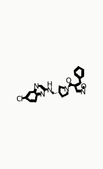 O=C(c1cnoc1-c1ccccc1)N1CC[C@H](CNc2cnc3cc(Cl)ccc3n2)C1